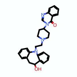 O=c1c2ccccc2ncn1C1CCN(CCN2c3ccccc3CC(O)c3ccccc32)CC1